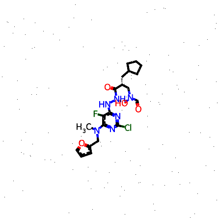 CN(Cc1ccco1)c1nc(Cl)nc(NNC(=O)[C@H](CC2CCCC2)CN(O)C=O)c1F